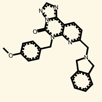 COc1ccc(Cn2c(=O)n3ncnc3c3ccc(CN4Cc5ccccc5C4)nc32)cc1